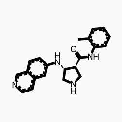 Cc1ccccc1NC(=O)[C@H]1CNC[C@@H]1Nc1ccc2cnccc2c1